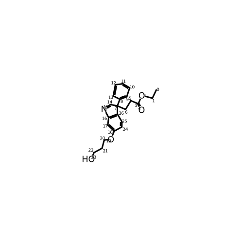 CCOC(=O)CCC1(c2ccccc2)C=Nc2cc(OCCCO)ccc21